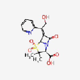 CC1(C)[C@H](C(=O)O)N2C(=O)/C(=C(\CO)c3ccccn3)C2S1(=O)=O